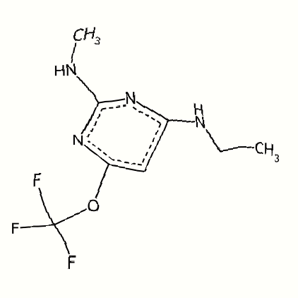 CCNc1cc(OC(F)(F)F)nc(NC)n1